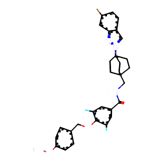 COc1ccc(COc2c(F)cc(C(=O)NCC34CCC(n5cc6ccc(Br)cc6n5)(CC3)CC4)cc2F)cc1